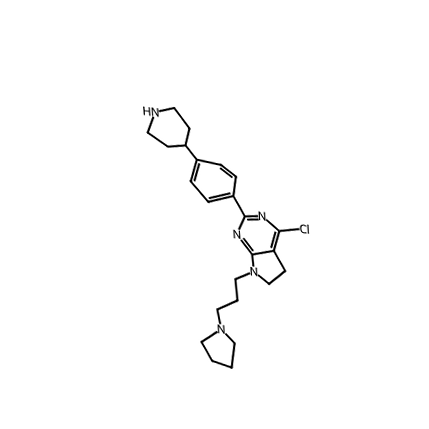 Clc1nc(-c2ccc(C3CCNCC3)cc2)nc2c1CCN2CCCN1CCCC1